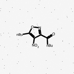 CCCCC(=O)c1noc(CCCC)c1[N+](=O)[O-]